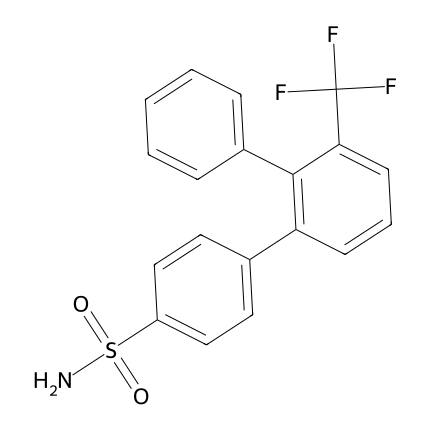 NS(=O)(=O)c1ccc(-c2cccc(C(F)(F)F)c2-c2ccccc2)cc1